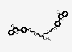 CN(CCOCCOc1ccc(-c2cc(=O)c3ccccc3o2)cc1)CCOCCOc1ccc(-c2cc(=O)c3ccccc3o2)cc1